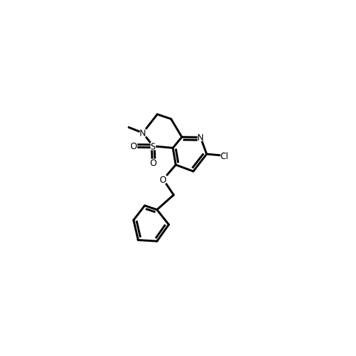 CN1CCc2nc(Cl)cc(OCc3ccccc3)c2S1(=O)=O